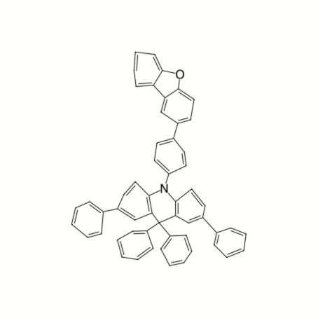 c1ccc(-c2ccc3c(c2)C(c2ccccc2)(c2ccccc2)c2cc(-c4ccccc4)ccc2N3c2ccc(-c3ccc4oc5ccccc5c4c3)cc2)cc1